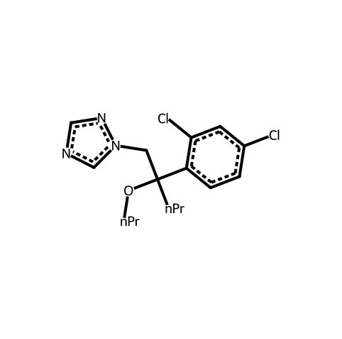 CCCOC(CCC)(Cn1cncn1)c1ccc(Cl)cc1Cl